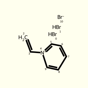 Br.Br.C=C[n+]1ccccc1.[Br-]